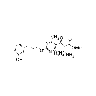 COC(=O)[C@H](C(=O)c1c(C)nc(OCCCc2cccc(O)c2)nc1C)C(N)N